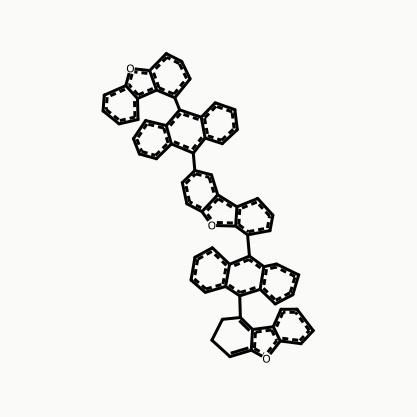 C1=c2oc3ccccc3c2=C(c2c3ccccc3c(-c3cccc4c3oc3ccc(-c5c6ccccc6c(-c6cccc7oc8ccccc8c67)c6ccccc56)cc34)c3ccccc23)CC1